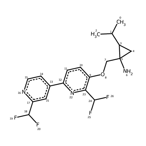 CC(C)C1CC1(N)COc1ccc(-c2ccnc(C(F)F)c2)nc1C(F)F